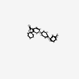 O=C1OC2(CCCCC2)C2=C1C=CN([C@H]1CC[C@H](c3cccc(F)c3)CC1)C2